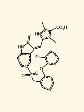 Cc1[nH]c(/C=C2\C(=O)Nc3ccc(S(=O)(=O)Cc4ccccc4Oc4ccccc4F)cc32)c(C)c1C(=O)O